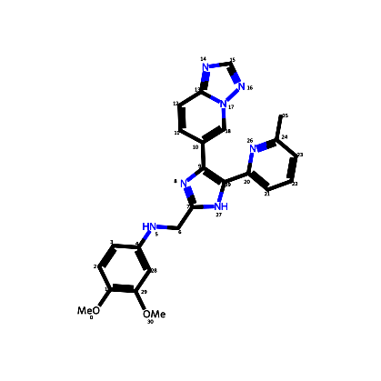 COc1ccc(NCc2nc(-c3ccc4ncnn4c3)c(-c3cccc(C)n3)[nH]2)cc1OC